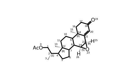 CC(=O)OC[C@@H](C)C1CCC2C3C(CC[C@@]21C)[C@@]1(C)CCC(=O)C=C1[C@H]1O[C@@H]31